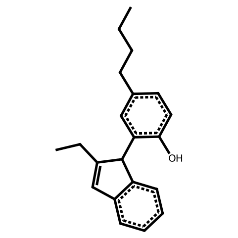 CCCCc1ccc(O)c(C2C(CC)=Cc3ccccc32)c1